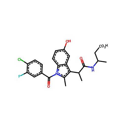 Cc1c(C(C)C(=O)NC(C)CC(=O)O)c2cc(O)ccc2n1C(=O)c1ccc(Cl)c(F)c1